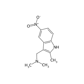 Cc1[nH]c2ccc([N+](=O)[O-])cc2c1CN(C)C